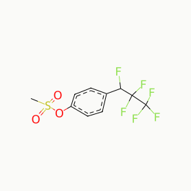 CS(=O)(=O)Oc1ccc(C(F)C(F)(F)C(F)(F)F)cc1